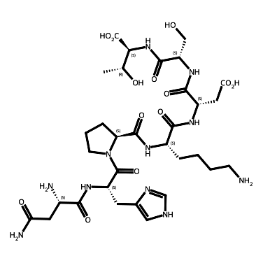 C[C@@H](O)[C@H](NC(=O)[C@H](CO)NC(=O)[C@H](CC(=O)O)NC(=O)[C@H](CCCCN)NC(=O)[C@@H]1CCCN1C(=O)[C@H](Cc1c[nH]cn1)NC(=O)[C@@H](N)CC(N)=O)C(=O)O